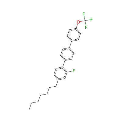 CCCCCCCc1ccc(-c2ccc(-c3ccc(OC(F)(F)F)cc3)cc2)c(F)c1